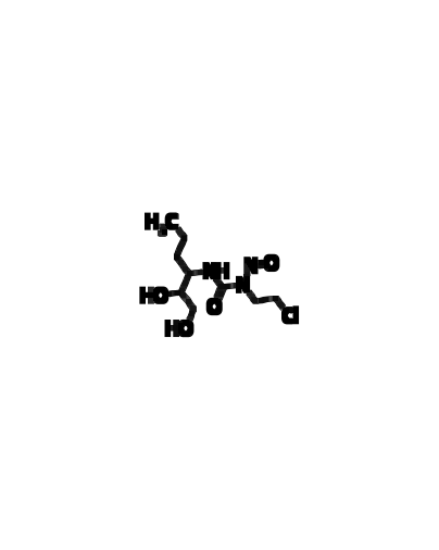 CCCC(NC(=O)N(CCCl)N=O)C(O)CO